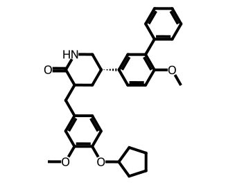 COc1cc(CC2C[C@@H](c3ccc(OC)c(-c4ccccc4)c3)CNC2=O)ccc1OC1CCCC1